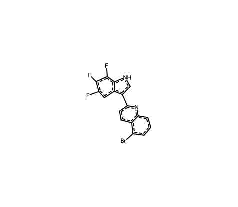 Fc1cc2c(-c3ccc4c(Br)cccc4n3)c[nH]c2c(F)c1F